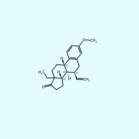 C=C[C@@H]1Cc2cc(OC)ccc2[C@H]2CCC3(CC)C(=O)CC[C@H]3[C@H]12